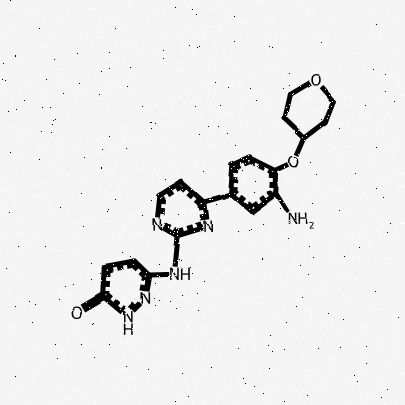 Nc1cc(-c2ccnc(Nc3ccc(=O)[nH]n3)n2)ccc1OC1CCOCC1